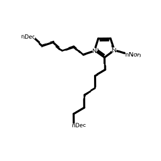 CCCCCCCCCCCCCCCCc1n(CCCCCCCCC)cc[n+]1CCCCCCCCCCCCCCC